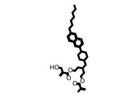 C=C(C)C(=O)OCCC(CCOC(=O)C(=C)CO)CC1CCC(c2ccc3cc(CCCCCCC)ccc3c2)CC1